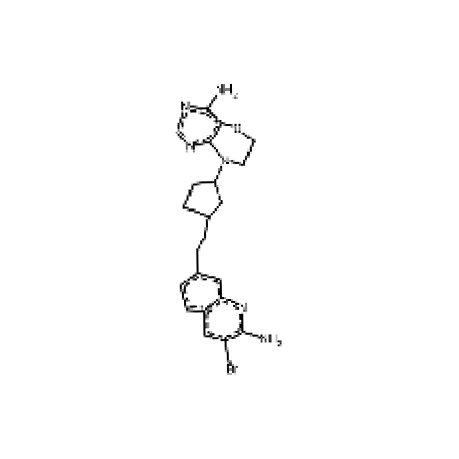 Nc1nc2cc(CCC3CCC(N4CCOc5c(N)ncnc54)C3)ccc2cc1Br